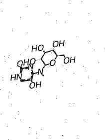 CN(c1nc(=O)[nH]cc1O)[C@@H]1O[C@H](CO)[C@@H](O)[C@H](O)[C@H]1O